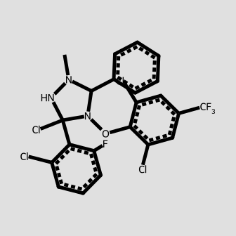 CN1NC(Cl)(c2c(F)cccc2Cl)N(Oc2c(Cl)cc(C(F)(F)F)cc2Cl)C1c1ccccc1